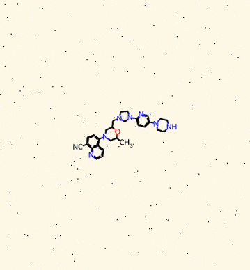 CC1CN(c2ccc(C#N)c3ncccc23)CC(CN2CCN(c3ccc(N4CCNCC4)cn3)C2)O1